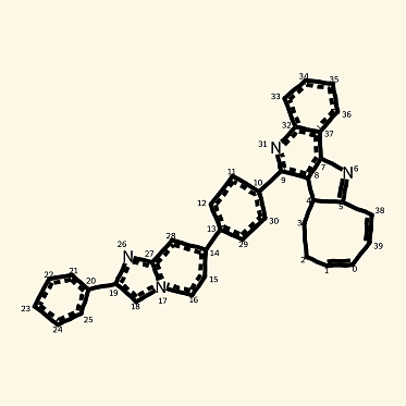 C1=C\CCC2C(=Nc3c2c(-c2ccc(-c4ccn5cc(-c6ccccc6)nc5c4)cc2)nc2ccccc32)\C=C/1